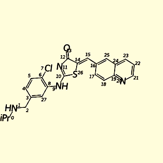 CC(C)NCc1ccc(Cl)c(NC2=NC(=O)/C(=C/c3ccc4ncccc4c3)S2)c1